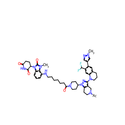 CC(=O)N1CCc2c(c(N3CCCc4cc(-c5cnn(C)c5)c(C(F)F)cc43)nn2C2CCN(C(=O)CCCCCCNc3cccc4c3n(C)c(=O)n4C3CCC(=O)NC3=O)CC2)C1